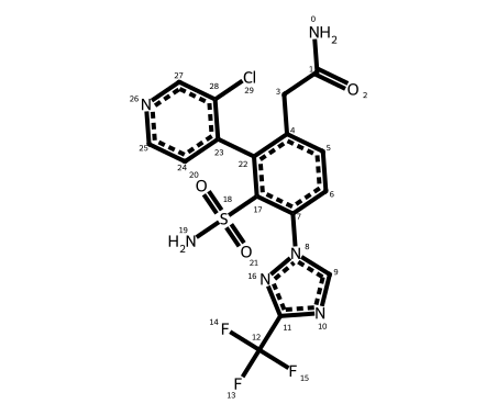 NC(=O)Cc1ccc(-n2cnc(C(F)(F)F)n2)c(S(N)(=O)=O)c1-c1ccncc1Cl